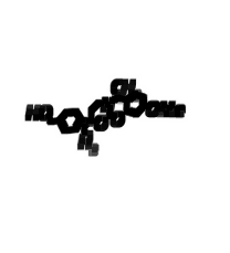 COc1ccc([C@H](C)N2CCC(C)(c3ccc(CO)cc3)OC2=O)cc1